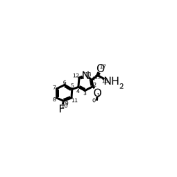 COc1cc(-c2cccc(F)c2)cnc1C(N)=O